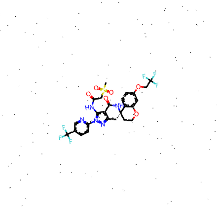 CS(=O)(=O)CC(=O)Nc1c2c(nn1-c1ccc(C(F)(F)F)cn1)C[C@]1(CCOc3cc(OCC(F)(F)F)ccc31)NC2=O